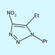 CCc1c([N+](=O)[O-])nnn1C(C)C